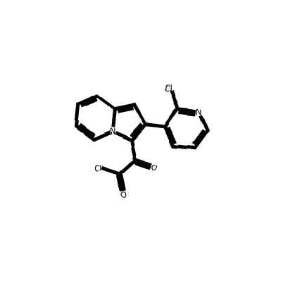 O=C(Cl)C(=O)c1c(-c2cccnc2Cl)cc2ccccn12